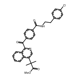 COC(=O)C(C)(C)c1cnc(C(=O)c2ccc(C(=O)NCCc3ccc(Cl)cc3)cc2)c2ccccc12